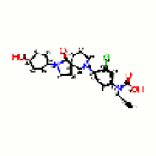 C#CCN(C(=O)O)c1ccc(N2CCC[C@]3(CCN(C4CCC(O)CC4)C3=O)C2)c(Cl)c1